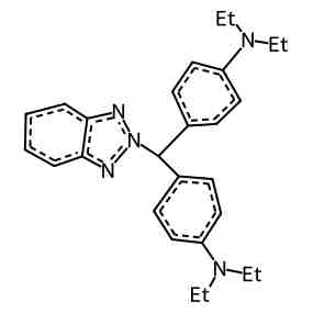 CCN(CC)c1ccc(C(c2ccc(N(CC)CC)cc2)n2nc3ccccc3n2)cc1